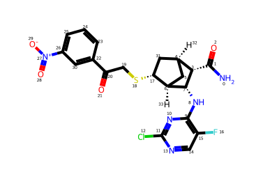 NC(=O)[C@H]1[C@H]2C[C@@H]([C@H]1Nc1nc(Cl)ncc1F)[C@H](SCC(=O)c1cccc([N+](=O)[O-])c1)C2